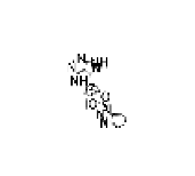 C[Si](C)(Oc1cc(-c2n[nH]c3ncnc(N)c23)ccc1O)n1nnc2ccccc21